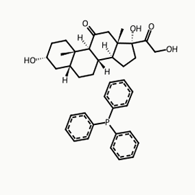 C[C@]12CC[C@@H](O)C[C@H]1CC[C@@H]1[C@@H]2C(=O)C[C@@]2(C)[C@H]1CC[C@]2(O)C(=O)CO.c1ccc(P(c2ccccc2)c2ccccc2)cc1